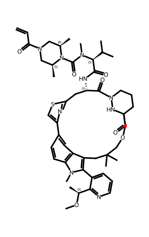 C=CC(=O)N1C[C@@H](C)N(C(=O)N(C)[C@H](C(=O)N[C@H]2Cc3nc(cs3)-c3ccc4c(c3)c(c(-c3cccnc3[C@H](C)OC)n4C)CC(C)(C)COCC3(C=O)CCCN(N3)C2=O)C(C)C)[C@@H](C)C1